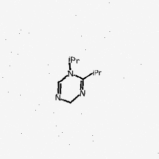 CC(C)C1=NCN=CN1C(C)C